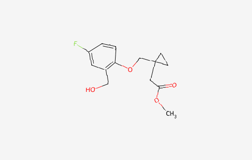 COC(=O)CC1(COc2ccc(F)cc2CO)CC1